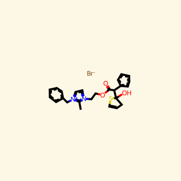 Cc1n(CCOC(=O)C(c2ccccc2)C2(O)CC=CS2)cc[n+]1Cc1ccccc1.[Br-]